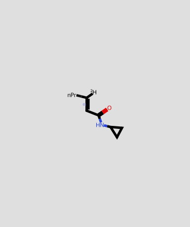 [2H]/C(=C\C(=O)NC1CC1)CCC